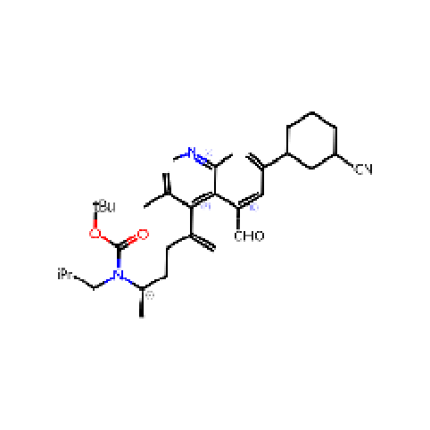 C=C(C)/C(C(=C)CC[C@@H](C)N(CC(C)C)C(=O)OC(C)(C)C)=C(C(\C)=N/C)/C(C=O)=C\C(=C)C1CCCC(C#N)C1